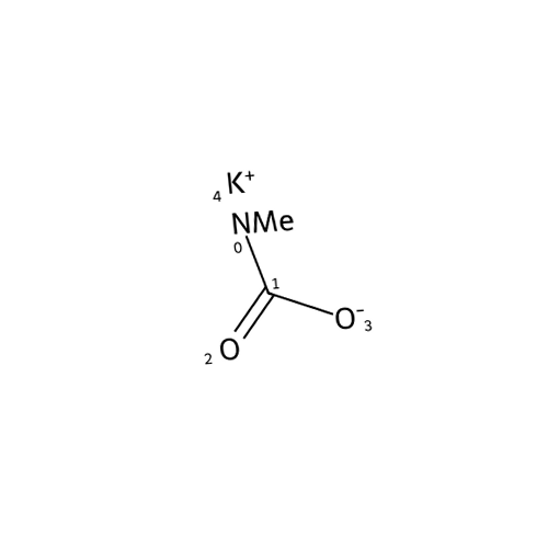 CNC(=O)[O-].[K+]